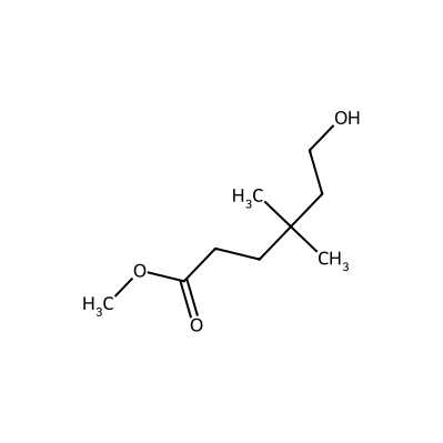 COC(=O)CCC(C)(C)CCO